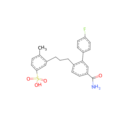 Cc1ccc(S(=O)(=O)O)cc1CCCc1ccc(C(N)=O)cc1-c1ccc(F)cc1